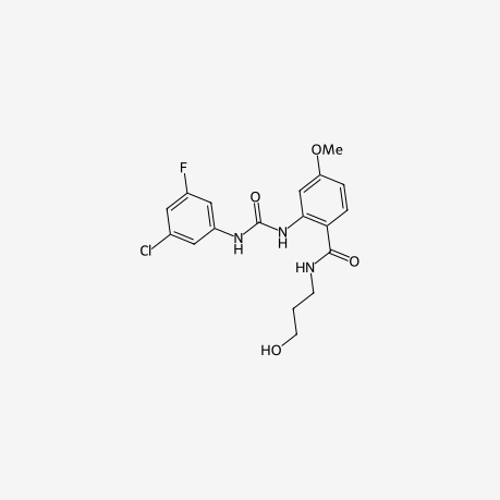 COc1ccc(C(=O)NCCCO)c(NC(=O)Nc2cc(F)cc(Cl)c2)c1